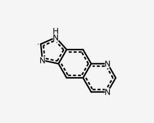 [c]1nc2cc3cncnc3cc2[nH]1